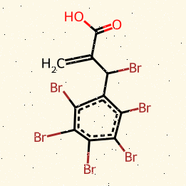 C=C(C(=O)O)C(Br)c1c(Br)c(Br)c(Br)c(Br)c1Br